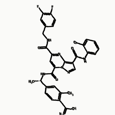 C=C(O)c1ccc([C@H](C)NC(=O)c2cc(C(=O)NCc3ccc(F)c(F)c3)nc3c(C(=O)Nc4ccccc4Cl)cnn23)cc1C